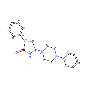 O=C1NC(N2CCN(c3ccccc3)CC2)CC1c1ccccc1